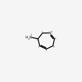 NC1C=CCC=NC1